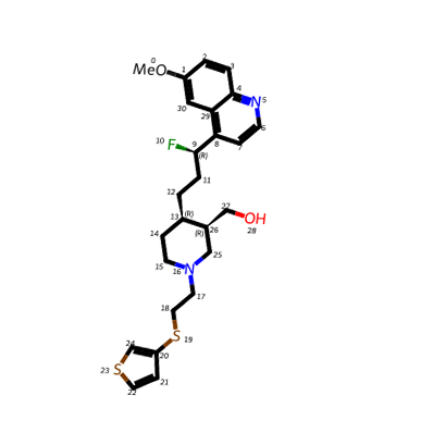 COc1ccc2nccc([C@H](F)CC[C@@H]3CCN(CCSc4ccsc4)C[C@@H]3CO)c2c1